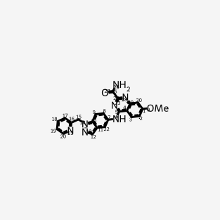 COc1[c]cc2c(Nc3ccc4c(cnn4Cc4ccccn4)c3)nc(C(N)=O)nc2c1